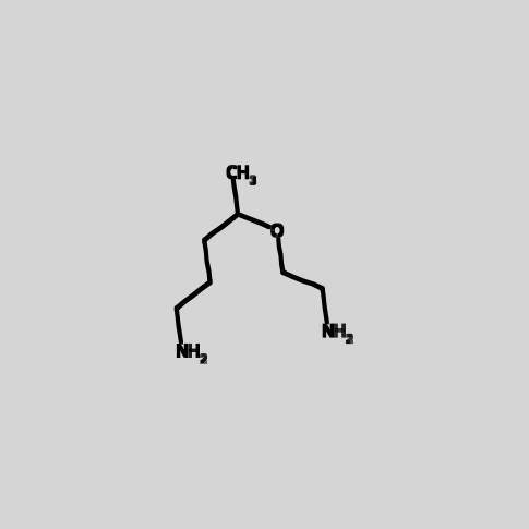 CC(CCCN)OCCN